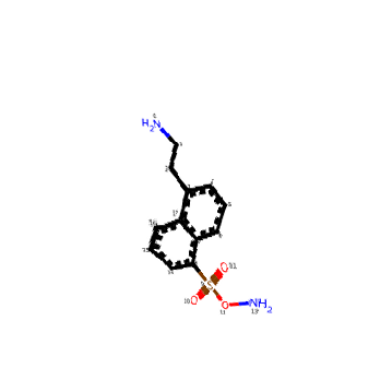 NCCc1cccc2c(S(=O)(=O)ON)cccc12